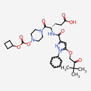 CC(C)(C)C(=O)COc1cc(C(=O)N[C@@H](CCC(=O)O)C(=O)N2CCN(OC(=O)OC3CCC3)CC2)nn1-c1ccccc1